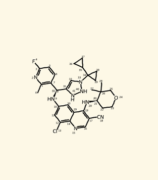 Cc1nc(F)ccc1[C@H](Nc1cc(Cl)c2ncc(C#N)c(N[C@@H]3CCOCC3(C)C)c2c1)C1=CN(C2(C3CC3)CC2)NN1